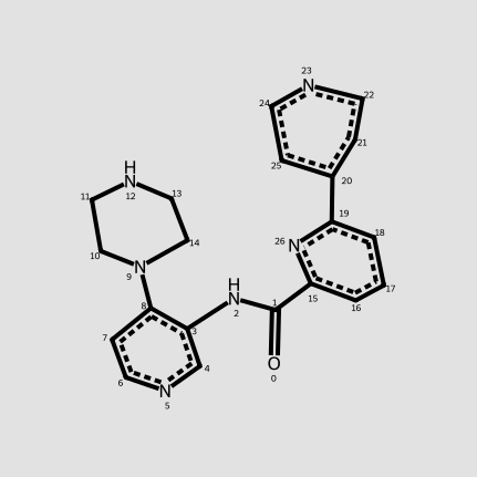 O=C(Nc1cnccc1N1CCNCC1)c1cccc(-c2ccncc2)n1